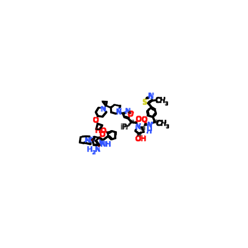 Cc1ncsc1-c1ccc([C@H](C)NC(=O)[C@@H]2C[C@@H](O)CN2C(=O)[C@H](c2cc(N3CCC(C4(N5CCC(O[C@H]6C[C@H](Oc7cc(N8C9CCC8CN(c8cc(-c%10ccccc%10O)[nH]c8N)C9)ccn7)C6)CC5)CC4)CC3)no2)C(C)C)cc1